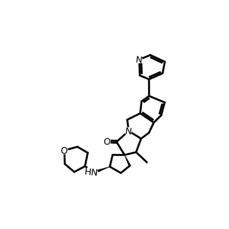 CC1C2Cc3ccc(-c4cccnc4)cc3CN2C(=O)[C@]12CC[C@@H](NC1CCOCC1)C2